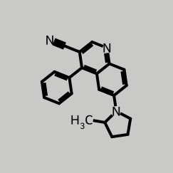 CC1CCCN1c1ccc2ncc(C#N)c(-c3ccccc3)c2c1